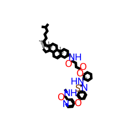 CNC(=O)c1cc(Oc2ccc3nc(N[C@H]4CCCCC4OC(=O)CCC(=O)N[C@H]4CC[C@@]5(C)C(=CCC6C5CC[C@@]5(C)C6CC[C@@H]5[C@H](C)CCCC(C)C)C4)sc3c2)ccn1